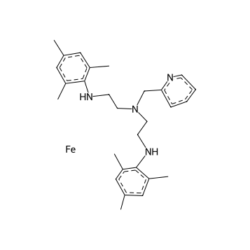 Cc1cc(C)c(NCCN(CCNc2c(C)cc(C)cc2C)Cc2ccccn2)c(C)c1.[Fe]